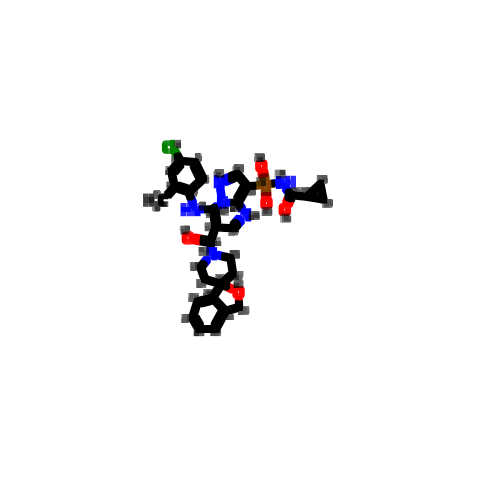 Cc1cc(Cl)ccc1Nc1c(C(=O)N2CCC3(CC2)OCc2ccccc23)cnc2c(S(=O)(=O)NC(=O)C3CC3)cnn12